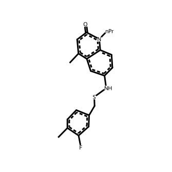 CCCn1c(=O)cc(C)c2cc(NSCc3ccc(C)c(F)c3)ccc21